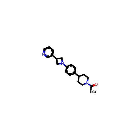 CC(C)(C)C(=O)N1CCC(c2ccc(N3CC(c4cccnc4)C3)cc2)CC1